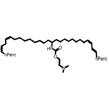 CCCCC/C=C\C/C=C\CCCCCCCCC(CCCCCCCC/C=C\C=C\CCCCC)NC(=O)OCCN(C)C